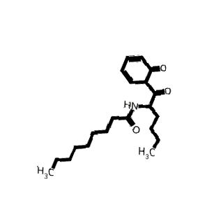 CCCCCCCCC(=O)NC(CCCC)C(=O)C1C=CC=CC1=O